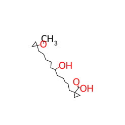 COC1(CCCCCC(O)CCCCCC2(C(=O)O)CC2)CC1